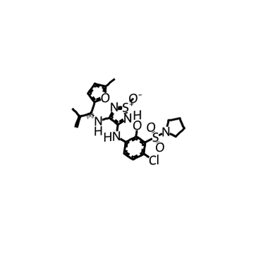 C=C(C)[C@@H](Nc1n[s+]([O-])nc1Nc1ccc(Cl)c(S(=O)(=O)N2CCCC2)c1O)c1ccc(C)o1